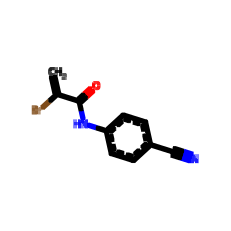 C=C(Br)C(=O)Nc1ccc(C#N)cc1